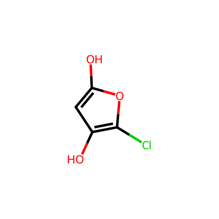 Oc1cc(O)c(Cl)o1